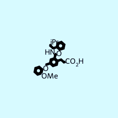 COc1ccccc1OCc1ccc(CCC(=O)O)c(C(=O)NC(CC(C)C)c2ccccc2)c1